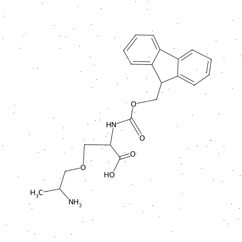 CC(N)COCC(NC(=O)OCC1c2ccccc2-c2ccccc21)C(=O)O